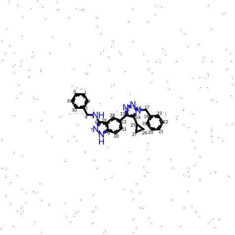 c1ccc(CNc2n[nH]c3ccc(-c4nnn(Cc5ccccc5)c4C4CC4)cc23)cc1